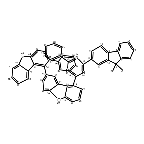 CC1(C)c2ccccc2-c2ccc(-c3nc(-c4ccccc4)nc(-c4cccc5oc6ccc(-c7c(-c8ccccc8)ccc8sc9ccccc9c78)cc6c45)n3)cc21